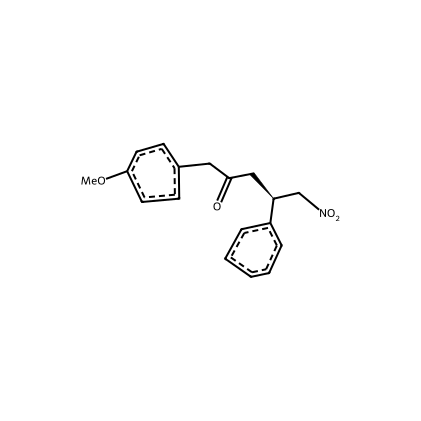 COc1ccc(CC(=O)C[C@@H](C[N+](=O)[O-])c2ccccc2)cc1